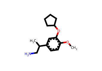 COc1ccc(C(C)CN)cc1OC1CCCC1